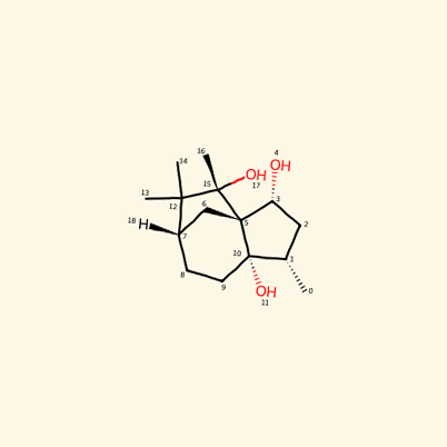 C[C@H]1C[C@@H](O)[C@]23C[C@H](CC[C@]12O)C(C)(C)[C@]3(C)O